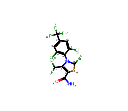 NC(=O)C1=C(C(F)F)N(c2c(Cl)cc(C(F)(F)F)cc2Cl)C(Br)S1